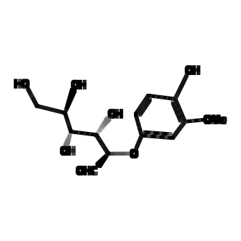 COc1cc(O[C@@H](C=O)[C@@H](O)[C@H](O)[C@H](O)CO)ccc1O